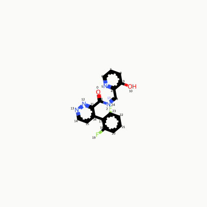 O=C(/N=C\c1ncccc1O)c1nnccc1-c1c(F)cccc1F